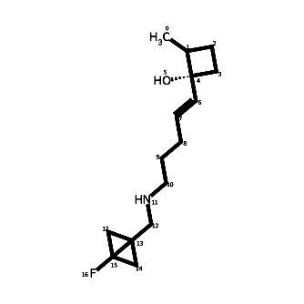 CC1CC[C@@]1(O)/C=C/CCCNCC12CC1(F)C2